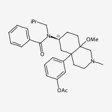 COC12CC[C@H](N(CC(C)C)C(=O)c3ccccc3)CC1(c1cccc(OC(C)=O)c1)CCN(C)C2